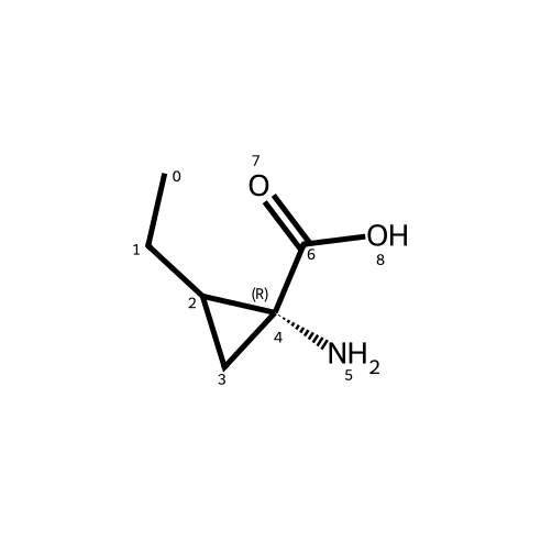 CCC1C[C@]1(N)C(=O)O